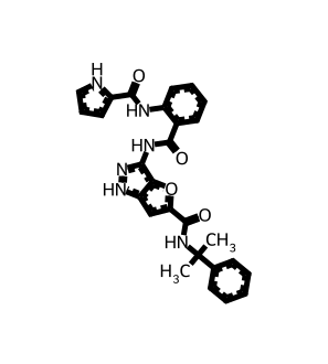 CC(C)(NC(=O)c1cc2[nH]nc(NC(=O)c3ccccc3NC(=O)c3ccc[nH]3)c2o1)c1ccccc1